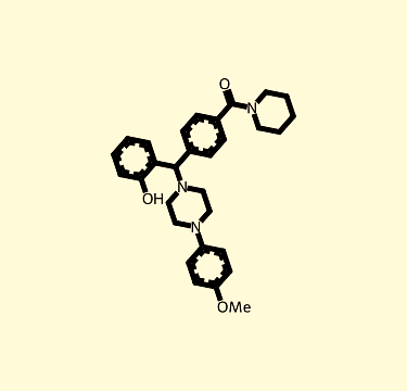 COc1ccc(N2CCN(C(c3ccc(C(=O)N4CCCCC4)cc3)c3ccccc3O)CC2)cc1